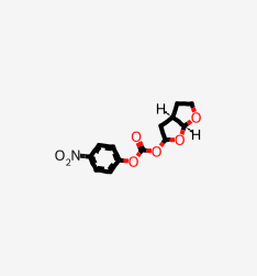 O=C(Oc1ccc([N+](=O)[O-])cc1)OC1C[C@H]2CCO[C@H]2O1